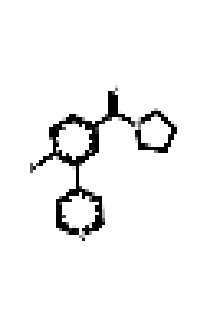 O=C(c1ccc(F)c(-c2ccncc2)c1)N1CCCC1